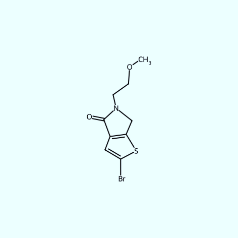 COCCN1Cc2sc(Br)cc2C1=O